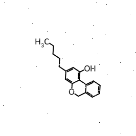 CCCCCc1cc(O)c2c(c1)OCc1ccccc1-2